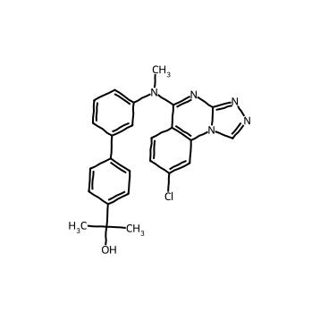 CN(c1cccc(-c2ccc(C(C)(C)O)cc2)c1)c1nc2nncn2c2cc(Cl)ccc12